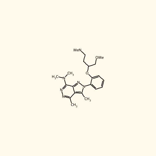 CNCCC(COC)Oc1ccccc1-n1nc2c(N(C)C)nnc(C)c2c1C